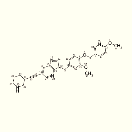 COc1ccc(COc2ccc(Cn3cnc4cc(C#CC5CCCNC5)cnc43)cc2OC)cn1